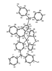 Cc1ccc(N(c2ccccc2)c2ccc3c(c2)C2(c4ccccc4Sc4ccccc42)c2c-3c3ccccc3c3cc(N(c4ccccc4)c4ccc(C)cc4)ccc23)cc1